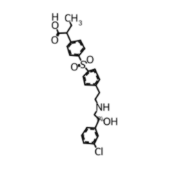 CCC(C(=O)O)c1ccc(S(=O)(=O)c2ccc(CCNC[C@H](O)c3cccc(Cl)c3)cc2)cc1